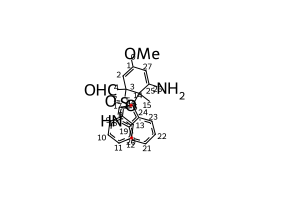 COC1=CC(C=O)(S(=O)(=O)c2ccccc2)C(C)(c2c[nH]c3ccccc23)C(N)=C1